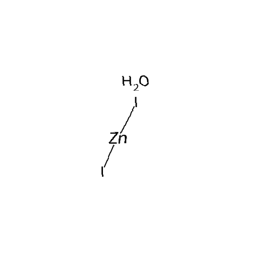 O.[I][Zn][I]